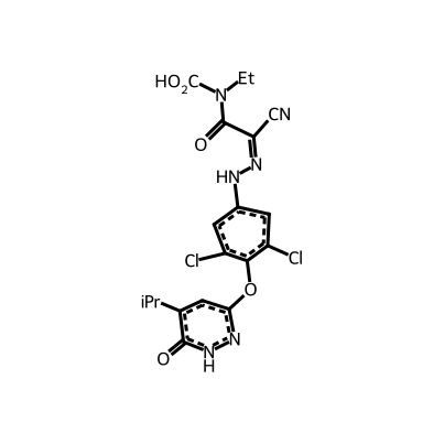 CCN(C(=O)O)C(=O)/C(C#N)=N\Nc1cc(Cl)c(Oc2cc(C(C)C)c(=O)[nH]n2)c(Cl)c1